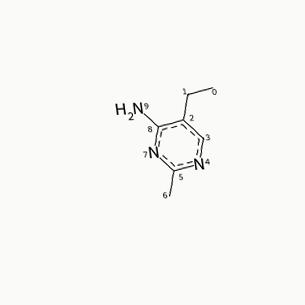 CCc1cnc(C)nc1N